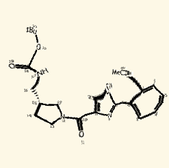 COc1ccccc1-c1nc(C(=O)N2CC[C@H](CNC(=O)OC(C)(C)C)C2)cs1